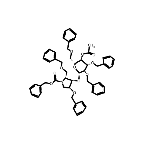 CC(=O)O[C@H]1[C@H](OCc2ccccc2)[C@@H](OCc2ccccc2)[C@@H](O[C@H]2[C@@H](OCc3ccccc3)CN(C(=O)OCc3ccccc3)[C@H]2COCc2ccccc2)O[C@@H]1COCc1ccccc1